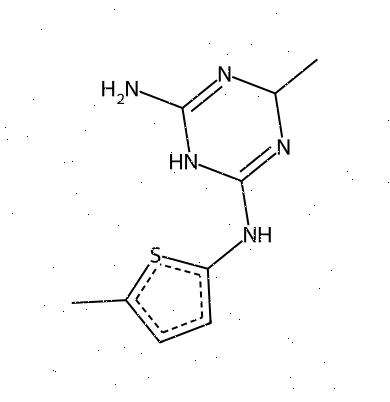 Cc1ccc(NC2=NC(C)N=C(N)N2)s1